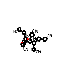 N#Cc1cccc(-c2ccc3c(c2)c2cc(-c4cccc(C#N)c4)ccc2n3-c2cc(C#N)cc(-n3c4ccc(-c5cccc(C#N)c5)cc4c4cc(-c5cccc(C#N)c5)ccc43)c2-c2cccc(-c3ccccc3)n2)c1